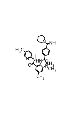 Cc1ccc(NC(=O)c2cc(C)cc(N(C)C)c2NC(=O)c2ccc(C(=N)N3CCCCC3)cc2)nc1